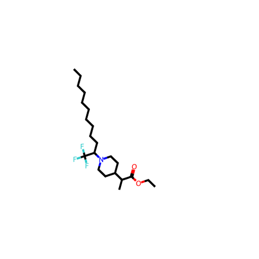 CCCCCCCCCCC(N1CCC(C(C)C(=O)OCC)CC1)C(F)(F)F